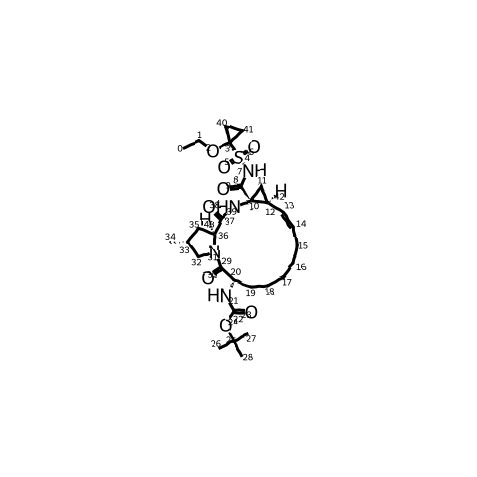 CCOC1(S(=O)(=O)NC(=O)[C@@]23C[C@H]2/C=C\CCCCC[C@H](NC(=O)OC(C)(C)C)C(=O)N2C[C@H](C)C[C@H]2C(=O)N3)CC1